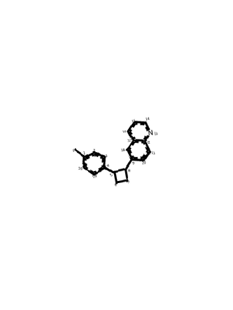 Cc1ccc(C2CCC2c2ccc3ncccc3c2)cc1